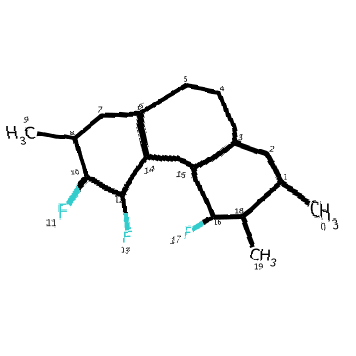 CC1CC2CCC3CC(C)C(F)C(F)C3C2C(F)C1C